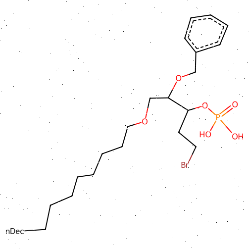 CCCCCCCCCCCCCCCCCCOCC(OCc1ccccc1)C(CCBr)OP(=O)(O)O